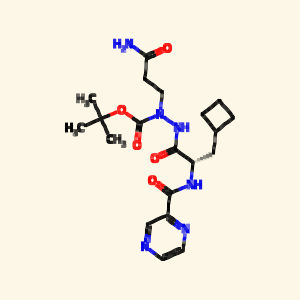 CC(C)(C)OC(=O)N(CCC(N)=O)NC(=O)[C@H](CC1CCC1)NC(=O)c1cnccn1